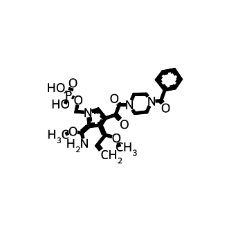 C=C/C(OC)=c1/c(C(=O)C(=O)N2CCN(C(=O)c3ccccc3)CC2)cn(COP(=O)(O)O)/c1=C(/N)OC